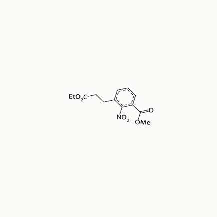 CCOC(=O)CCc1cccc(C(=O)OC)c1[N+](=O)[O-]